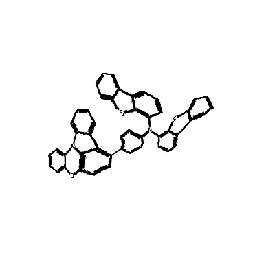 c1ccc2c(c1)Oc1ccc(-c3ccc(N(c4cccc5c4sc4ccccc45)c4cccc5c4sc4ccccc45)cc3)c3c4ccccc4n-2c13